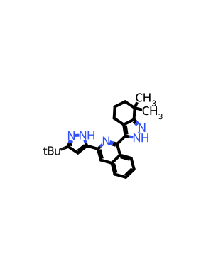 CC(C)(C)c1cc(-c2cc3ccccc3c(-c3[nH]nc4c3CCCC4(C)C)n2)[nH]n1